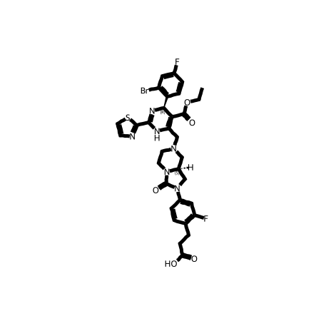 CCOC(=O)C1=C(CN2CCN3C(=O)N(c4ccc(CCC(=O)O)c(F)c4)C[C@@H]3C2)NC(c2nccs2)=N[C@H]1c1ccc(F)cc1Br